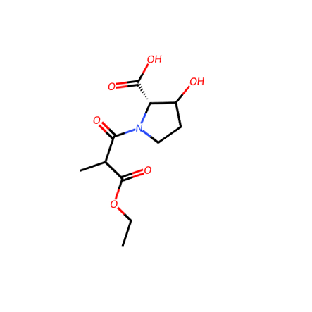 CCOC(=O)C(C)C(=O)N1CCC(O)[C@H]1C(=O)O